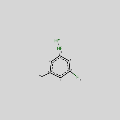 Cc1cccc(F)c1.F.F